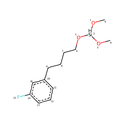 CO[SiH](OC)OCCCCc1cccc(F)c1